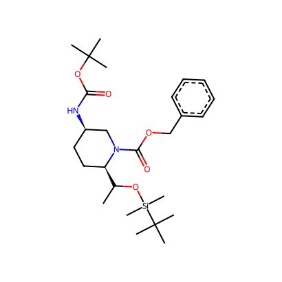 CC(O[Si](C)(C)C(C)(C)C)[C@H]1CC[C@@H](NC(=O)OC(C)(C)C)CN1C(=O)OCc1ccccc1